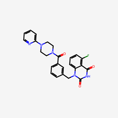 O=C(c1cccc(Cn2c(=O)[nH]c(=O)c3c(F)cccc32)c1)N1CCN(c2ccccn2)CC1